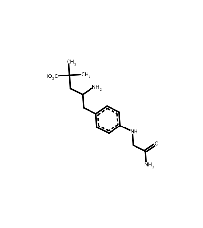 CC(C)(CC(N)Cc1ccc(NCC(N)=O)cc1)C(=O)O